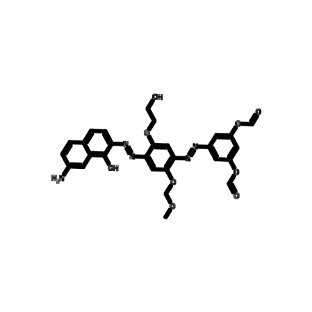 COCOc1cc(N=Nc2ccc3ccc(N)cc3c2O)c(OCCO)cc1N=Nc1cc(OC=O)cc(OC=O)c1